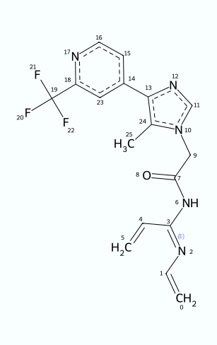 C=C/N=C(\C=C)NC(=O)Cn1cnc(-c2ccnc(C(F)(F)F)c2)c1C